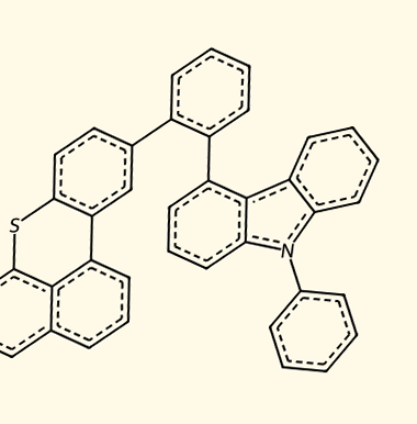 c1ccc(-n2c3ccccc3c3c(-c4ccccc4-c4ccc5c(c4)-c4cccc6cccc(c46)S5)cccc32)cc1